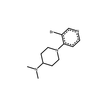 CN(C)C1CCN(c2ccncc2Br)CC1